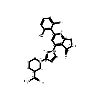 N#Cc1cccc(F)c1-c1cc(-n2ccc(N3CCCC(C(N)=O)C3)n2)c2c(n1)CNC2=O